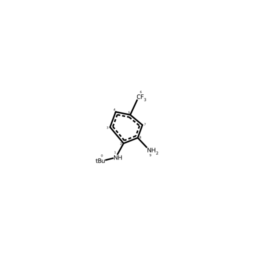 CC(C)(C)Nc1ccc(C(F)(F)F)cc1N